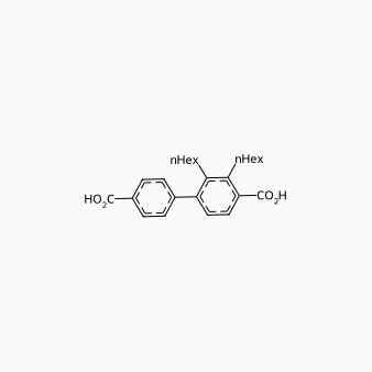 CCCCCCc1c(C(=O)O)ccc(-c2ccc(C(=O)O)cc2)c1CCCCCC